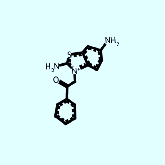 Nc1ccc2c(c1)sc(N)[n+]2CC(=O)c1ccccc1